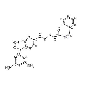 Nc1cc(N)cc(C(OO)c2ccc(OCCOC(=O)/C=C\c3ccccc3)cc2)c1